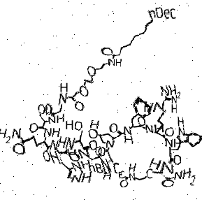 CCCCCCCCCCCCCCCCCC(=O)NCCOCCOCC(=O)NCC(=O)NC(CO)C(=O)NC(CCC(N)=O)C(=O)N[C@@H](CC1=CNCN1)C(=O)NC(CO)C(=O)N[C@@H](CCCC)C(=O)N[C@H]1CCC(=O)NCCC[C@@H](C(N)=O)NC(=O)[C@H](Cc2c[nH]c3ccccc23)NC(=O)C(CCCNC(=N)N)NC(=O)C(Cc2ccccc2)NC(=O)C2C[C@@H](O)CN2C1=O